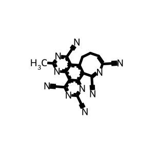 Cc1nc(C#N)c2c3c(c4nc(C#N)nc(C#N)c4c2n1)/C(C#N)=N\C(C#N)=C/CC3